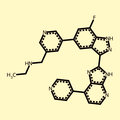 CCNCc1cncc(-c2cc(F)c3[nH]nc(-c4nc5c(-c6ccncc6)ccnc5[nH]4)c3c2)c1